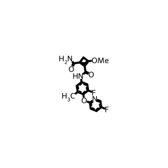 COC12CC(C(N)=O)(C1)C2C(=O)Nc1cc(C)c(Oc2ccc(F)cn2)c(F)c1